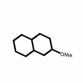 COC1CCC2CCCCC2C1